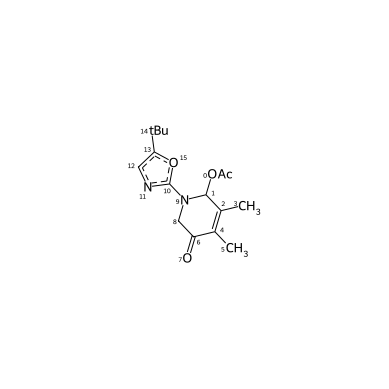 CC(=O)OC1C(C)=C(C)C(=O)CN1c1ncc(C(C)(C)C)o1